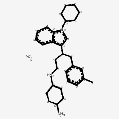 Cc1cccc(CC(CCNC2CCC(N)CC2)c2cn(C3CCCCC3)c3ccccc23)c1.Cl